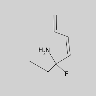 C=C/C=C\C(N)(F)CC